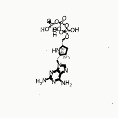 C[C@H]1C[C@@H](COP(=O)(O)OP(=O)(O)OP(=O)(O)O)N[C@H]1Cn1cnc2c(N)nc(N)nc21